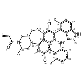 C=CC(=O)N1CC2CNc3c(Cl)c(-c4c(C)ccc5[nH]ncc45)nc4c3c(nc(=O)n4-c3c(C)ccnc3C(C)C)N2CC1C